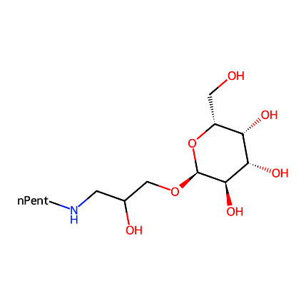 CCCCCNCC(O)CO[C@H]1O[C@H](CO)[C@H](O)[C@H](O)[C@H]1O